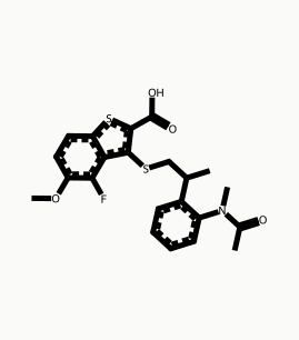 COc1ccc2sc(C(=O)O)c(SCC(C)c3ccccc3N(C)C(C)=O)c2c1F